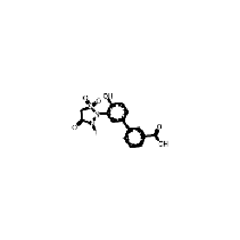 O=C(O)c1cccc(-c2ccc(O)c(N3N(I)C(=O)CS3(=O)=O)c2)c1